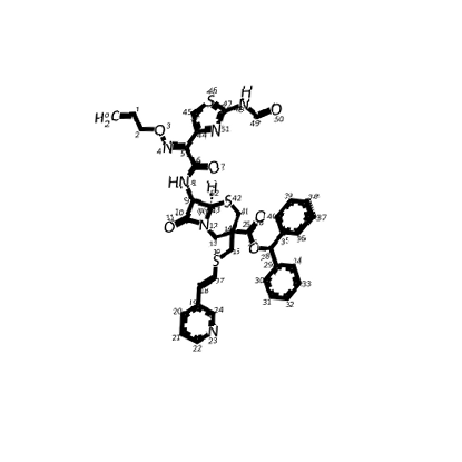 C=CCON=C(C(=O)NC1C(=O)N2CC(CSC=Cc3cccnc3)(C(=O)OC(c3ccccc3)c3ccccc3)CS[C@H]12)c1csc(NC=O)n1